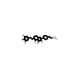 CCCC1CCC(c2cc3ccc(CCc4cc(F)c(F)c(F)c4)c(F)c3c(F)c2F)CC1